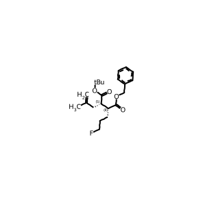 C=C(C)C[C@H](C(=O)OC(C)(C)C)[C@@H](CCCF)C(=O)OCc1ccccc1